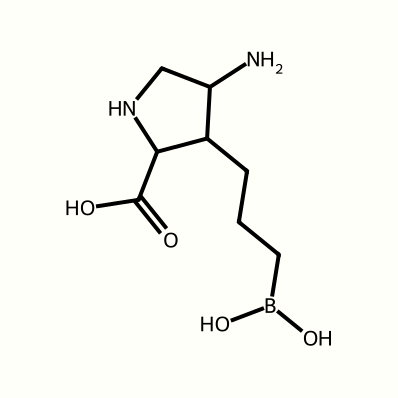 NC1CNC(C(=O)O)C1CCCB(O)O